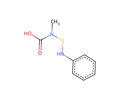 CN(SNc1ccccc1)C(=O)O